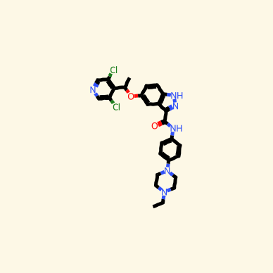 CCN1CCN(c2ccc(NC(=O)c3n[nH]c4ccc(OC(C)c5c(Cl)cncc5Cl)cc34)cc2)CC1